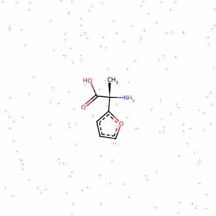 C[C@](N)(C(=O)O)c1ccco1